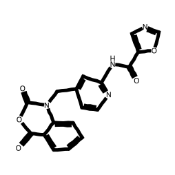 O=C(Nc1cc(Cn2c(=O)oc(=O)c3ccccc32)ccn1)c1cnco1